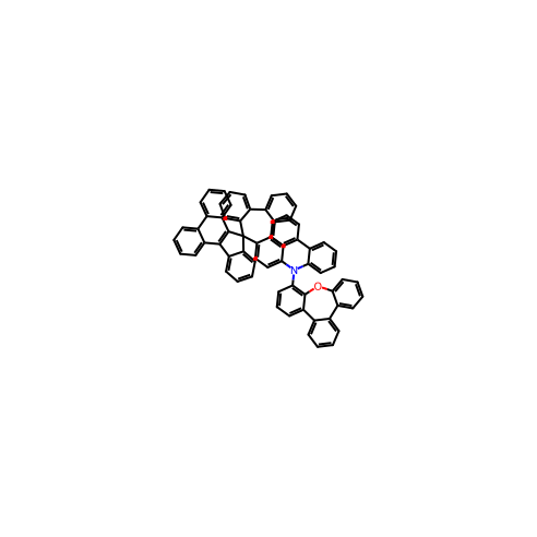 c1ccc(-c2ccccc2N(c2ccc3c(c2)-c2ccccc2-c2ccccc2C32c3ccccc3-c3c2c2ccccc2c2ccccc32)c2cccc3c2Oc2ccccc2-c2ccccc2-3)cc1